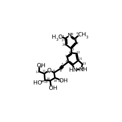 Cc1cc(-c2cc(C#CC3OC(CO)[C@@H](O)C(O)C3O)c3c(c2)CNN3)cc(C)n1